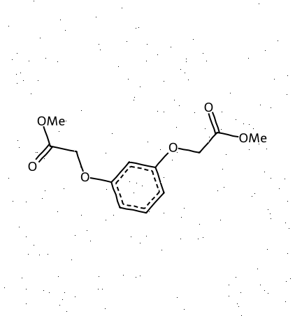 COC(=O)COc1cccc(OCC(=O)OC)c1